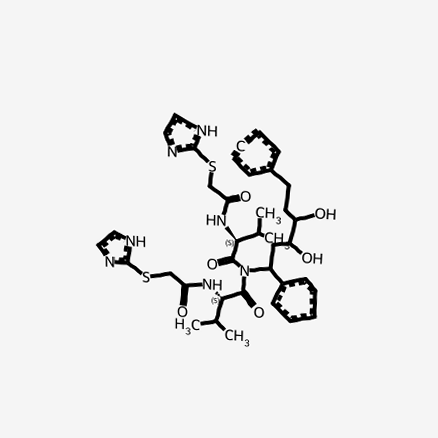 CC(C)[C@H](NC(=O)CSc1ncc[nH]1)C(=O)N(C(=O)[C@@H](NC(=O)CSc1ncc[nH]1)C(C)C)C(CC(O)C(O)CCc1ccccc1)c1ccccc1